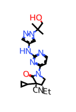 CC[C@H]1CN(c2ccnc(Nc3cnn(C(C)(C)CO)c3)n2)C(=O)[C@@]1(C#N)C1CC1